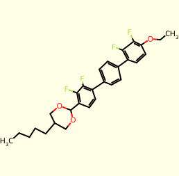 CCCCCC1COC(c2ccc(-c3ccc(-c4ccc(OCC)c(F)c4F)cc3)c(F)c2F)OC1